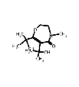 CN1CCOC(C(C)(C)C)=C(C(C)(C)C)C1=O